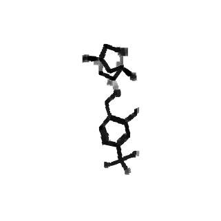 Fc1cc(C(F)(F)F)ccc1CO[C@@H]1C[C@@H]2CN[C@H]1C2